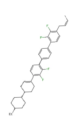 C/C=C\Cc1ccc(-c2ccc(-c3ccc(C4=CCC(C5CCC(CC)CC5)CC4)c(F)c3F)cc2)c(F)c1F